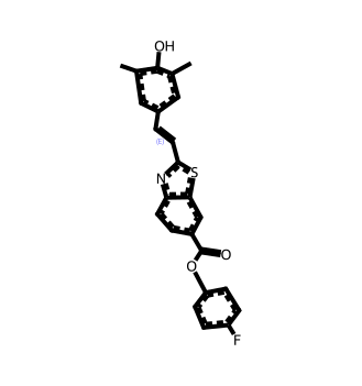 Cc1cc(/C=C/c2nc3ccc(C(=O)Oc4ccc(F)cc4)cc3s2)cc(C)c1O